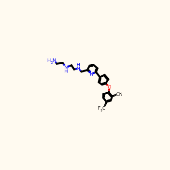 N#Cc1cc(C(F)(F)F)ccc1Oc1ccc(-c2cccc(CNCCNCCN)n2)cc1